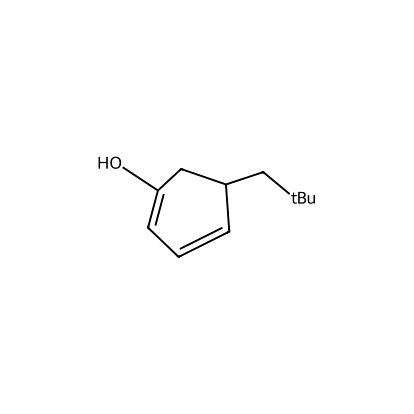 CC(C)(C)CC1C=CC=C(O)C1